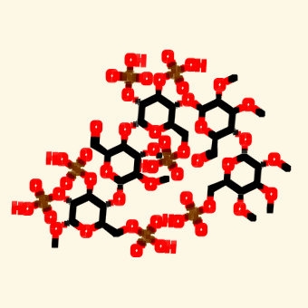 CO[C@H]1O[C@H](COS(=O)(=O)O)[C@@H](O[C@@H]2O[C@@H](C=O)[C@@H](O[C@H]3O[C@H](COS(=O)(=O)O)[C@@H](O[C@@H]4O[C@H](C=O)[C@@H](O[C@H]5O[C@H](COS(=O)(=O)O)[C@@H](OC)[C@H](OC)[C@H]5OC)[C@H](OC)[C@H]4OC)[C@H](OS(=O)(=O)O)[C@H]3OS(=O)(=O)O)[C@H](OC)[C@H]2OC)[C@H](OS(=O)(=O)O)[C@H]1OS(=O)(=O)O